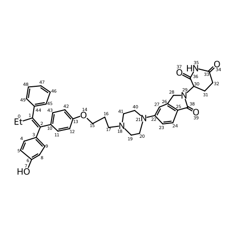 CCC(=C(c1ccc(O)cc1)c1ccc(OCCCN2CCN(c3ccc4c(c3)CN(C3CCC(=O)NC3=O)C4=O)CC2)cc1)c1ccccc1